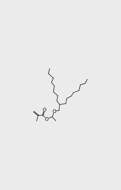 C=C(C)C(=O)OC(C)OCC(CCCCCCCC)CCCCCCCC